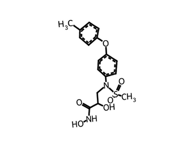 Cc1ccc(Oc2ccc(N(CC(O)C(=O)NO)S(C)(=O)=O)cc2)cc1